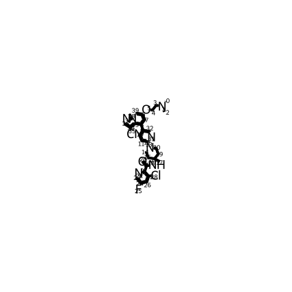 CN(C)CCOc1cc(-c2ccc(N3CCC(C)(NC(=O)c4ncc(F)cc4Cl)CC3)nc2)c2c(C#N)cnn2c1